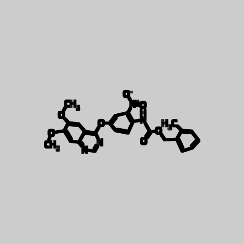 COc1cc2ncnc(Oc3ccc(NC(=O)OCc4ccccc4C)c([N+](=O)[O-])c3)c2cc1OC